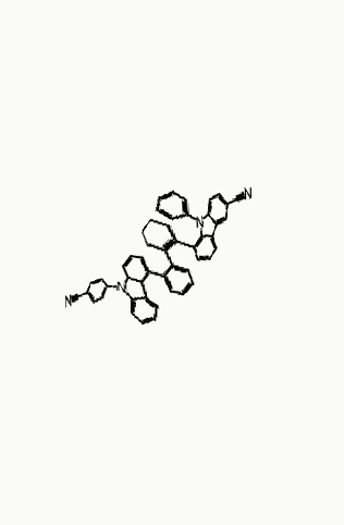 N#Cc1ccc(N2c3ccccc3C3C(c4ccccc4C4=C(c5cccc6c7cc(C#N)ccc7n(-c7ccccc7)c56)CCCC4)=CC=CC32)cc1